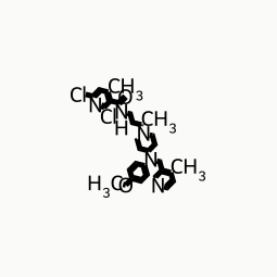 COc1ccc(N(Cc2cnccc2C)C2CCN(C(C)CCNC(=O)c3c(C)cc(Cl)nc3Cl)CC2)cc1